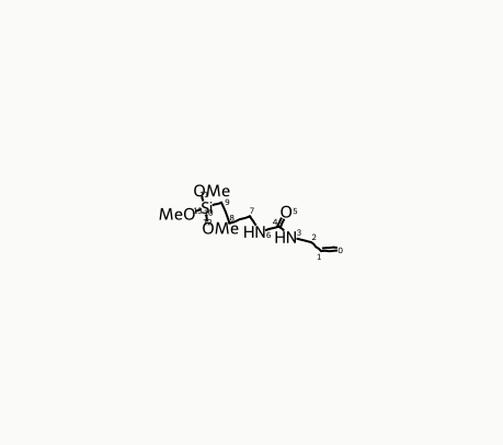 C=CCNC(=O)NCCC[Si](OC)(OC)OC